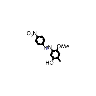 COc1cc(C)c(O)cc1/N=N/c1ccc([N+](=O)[O-])cc1